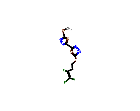 CSc1nnc(-c2nnc(SCCC(F)=C(F)F)s2)s1